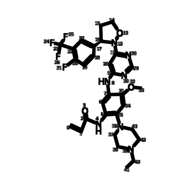 C=CC(=O)Nc1cc(Nc2cc(N3OCC[C@@H]3c3ccc(F)c(C(F)(F)F)c3)ncn2)c(OC)cc1N1CCN(CC)CC1